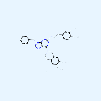 COc1ccc(CCNc2nc(N3CCc4cc(OC)c(OC)cc4C3)c3ncn(Cc4ccccc4)c3n2)cc1OC.Cl